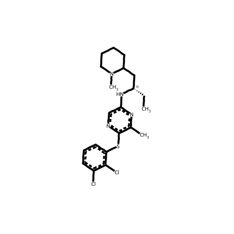 CC[C@@H](CC1CCCCN1C)Nc1cnc(Sc2cccc(Cl)c2Cl)c(C)n1